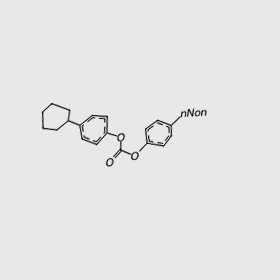 CCCCCCCCCc1ccc(OC(=O)Oc2ccc(C3CCCCC3)cc2)cc1